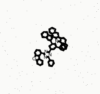 c1ccc(-c2nc(-c3cc(-c4ccccc4)c(-n4c5cc6ccccc6cc5c5ccc6ccccc6c54)c(-c4ccc5ccccc5c4)c3)nc(-c3cccc4oc5ccccc5c34)n2)cc1